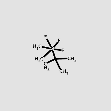 CC(C)(C)S(C)(C)(F)(F)F